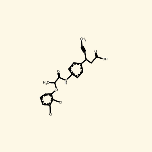 CC#CC(CC(=O)O)c1ccc(NC(=O)C(C)Oc2cccc(Cl)c2Cl)cc1